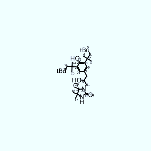 CC(C)(C)CC(C)(C)c1cc(CC(O)CN2C(=O)NC(C)(C)C2=O)cc(C(C)(C)CC(C)(C)C)c1O